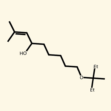 CCC(C)(CC)OCCCCCC(O)C=C(C)C